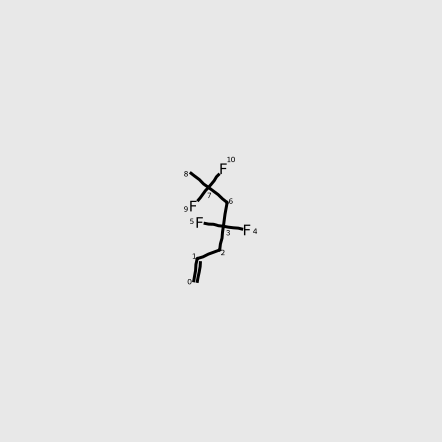 C=CCC(F)(F)CC(C)(F)F